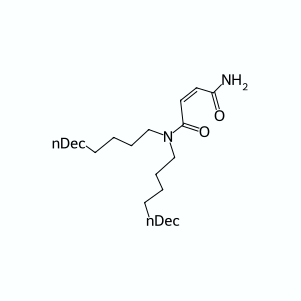 CCCCCCCCCCCCCCN(CCCCCCCCCCCCCC)C(=O)/C=C\C(N)=O